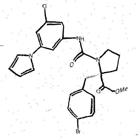 COC(=O)[C@]1(Cc2ccc(Br)cc2)CCCN1C(=O)Nc1cc(Cl)cc(-n2cccc2)c1